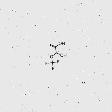 C=C(O)C(O)OC(F)(F)F